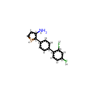 Nc1ccsc1-c1ccc(-c2ccc(F)cc2F)cc1